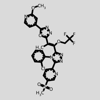 COc1cc(-c2nnc(/C(C)=C(\OCC(F)(F)F)c3nnc(-c4ccc(S(C)(=O)=O)cn4)n3-c3ccccc3Cl)o2)ccn1